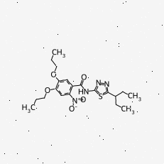 CCCOc1cc(C(=O)Nc2nnc(C(CC)CC)s2)c([N+](=O)[O-])cc1OCCC